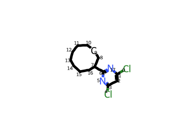 Clc1cc(Cl)nc(C2CCCCCCCCC2)n1